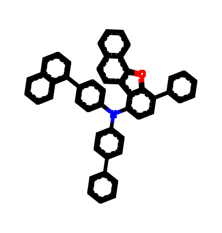 c1ccc(-c2ccc(N(c3ccc(-c4cccc5ccccc45)cc3)c3ccc(-c4ccccc4)c4oc5c6ccccc6ccc5c34)cc2)cc1